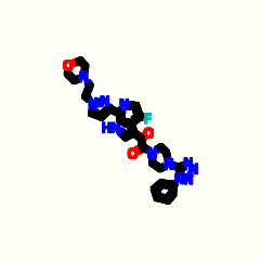 O=C(C(=O)N1CCN(c2nnnn2-c2ccccc2)CC1)c1c[nH]c2c(-c3ccn(CCN4CCOCC4)n3)ncc(F)c12